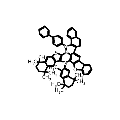 Cc1cc2c(cc1N1c3c(sc4cc5c(cc34)C(C)(C)CCC5(C)C)B3c4c(cc5c(oc6ccccc65)c41)-c1ccc4ccccc4c1N3c1ccc(-c3ccccc3)cc1)C(C)(C)CCC2(C)C